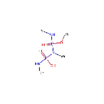 CC(C)NP(=O)(O)N(C(C)C)P(=O)(NC(C)C)OC(C)C